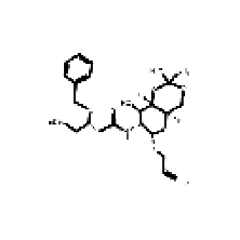 C=CCO[C@H]1O[C@@H]2COC(C)(C)O[C@H]2[C@H](O)[C@H]1NC(=O)C[C@H](CCCCCCCCCCC)OCc1ccccc1